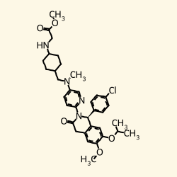 COC(=O)CNC1CCC(CN(C)c2ccc(N3C(=O)Cc4cc(OC)c(OC(C)C)cc4[C@@H]3c3ccc(Cl)cc3)nc2)CC1